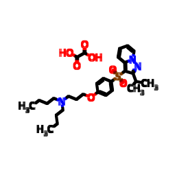 CCCCN(CCCC)CCCOc1ccc(S(=O)(=O)c2c(C(C)C)nn3ccccc23)cc1.O=C(O)C(=O)O